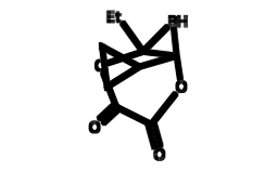 CCC12BC1(C1CC1)OC(=O)C(=O)O2